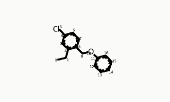 CCc1cc(Cl)ccc1COc1ccccc1